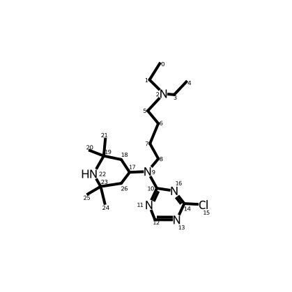 CCN(CC)CCCCN(c1ncnc(Cl)n1)C1CC(C)(C)NC(C)(C)C1